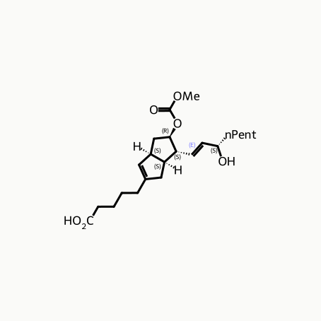 CCCCC[C@H](O)/C=C/[C@@H]1[C@H]2CC(CCCCC(=O)O)=C[C@H]2C[C@H]1OC(=O)OC